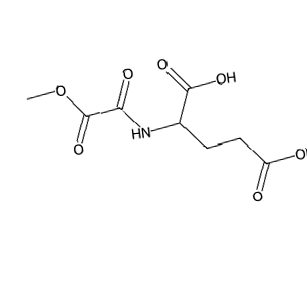 COC(=O)C(=O)NC(CCC(=O)O)C(=O)O